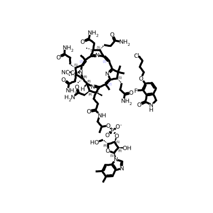 C/C1=C2N=C(/C=C3N=C(/C(C)=C4/[C@@H](CCC(N)=O)[C@](C)(CC(N)=O)[C@](C)([C@@H]5N=C1[C@](C)(CCC(=O)NCC(C)OP(=O)([O-])O[C@H]1[C@@H](O)[C@@H](n6cnc7cc(C)c(C)cc76)O[C@@H]1CO)[C@H]5CC(N)=O)[N]4[Co+][C]#N)[C@@](C)(CC(N)=O)[C@@H]\3CCC(N)=O)C(C)(C)[C@@H]/2CCC(N)=O.O=C1NCc2ccc(OCCCCl)c(F)c21